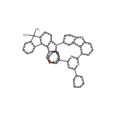 CC1(C)c2ccccc2-c2c1ccc1c2c2ccccc2n1-c1ccc2oc3cccc(-c4nc(-c5ccccc5)cc(-c5ccccc5)n4)c3c2c1